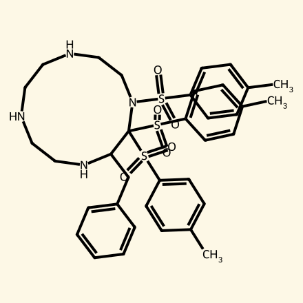 Cc1ccc(S(=O)(=O)N2CCNCCNCCNC(Cc3ccccc3)C2(S(=O)(=O)c2ccc(C)cc2)S(=O)(=O)c2ccc(C)cc2)cc1